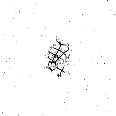 [2H]C([2H])([2H])n1cncc1C([2H])([2H])[C@@]1([2H])COC(=O)[C@@]1([2H])C([2H])([2H])C([2H])([2H])[2H]